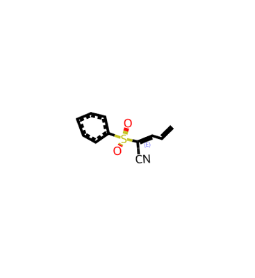 C=C/C=C(\C#N)S(=O)(=O)c1ccccc1